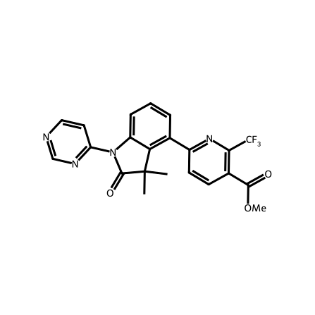 COC(=O)c1ccc(-c2cccc3c2C(C)(C)C(=O)N3c2ccncn2)nc1C(F)(F)F